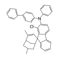 CC1=CC2(c3ccccc3-c3ccc(N(c4ccccc4)c4ccc(-c5ccccc5)cc4)c(Cl)c32)C2CC(C)CC1C2